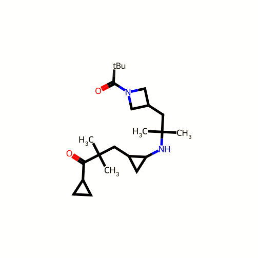 CC(C)(CC1CN(C(=O)C(C)(C)C)C1)NC1CC1CC(C)(C)C(=O)C1CC1